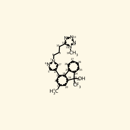 Cc1cc(-c2cnn(CCCc3nnnn3C)c2)c2c(c1)C(O)(C(F)(F)F)c1ccccc1-2